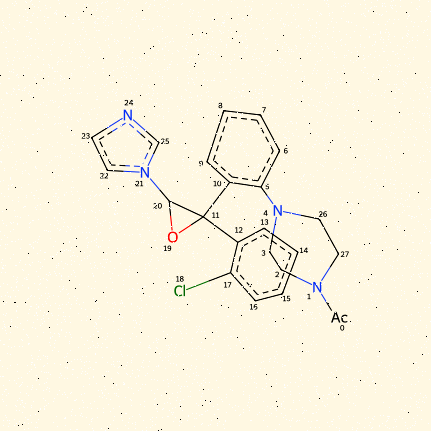 CC(=O)N1CCN(c2ccccc2C2(c3ccccc3Cl)OC2n2ccnc2)CC1